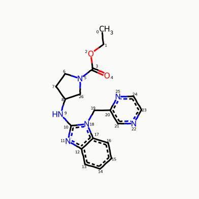 CCOC(=O)N1CCC(Nc2nc3ccccc3n2Cc2cnccn2)C1